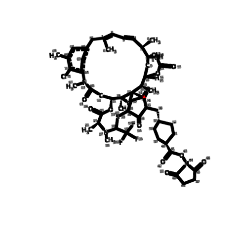 C/C1=C\C=C\[C@@H](C)[C@@]2(O)C[C@H](OC(=O)N2)[C@@H](C)[C@@H]2O[C@@]2(C)[C@@H](OC(=O)[C@H](C)N(C)C(SC2CC(=O)C(C[C@H]3CC[C@H](C(=O)ON4C(=O)CCC4=O)CC3)C2=O)C(F)(F)F)CC(=O)N(C)c2cc(cc(C)c2Cl)C1